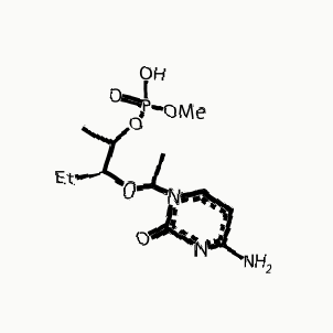 CC[C@H](OC(C)n1ccc(N)nc1=O)C(C)OP(=O)(O)OC